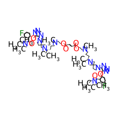 CCN(C(=O)c1cc(F)ccc1Oc1nncnc1N1CCC2(C1)CN([C@H](CCCN(C)CCOC(=O)/C=C/C(=O)OCCN(C)CCC[C@H](C(C)C)N1CC3(CCN(c4ncnnc4Oc4ccc(F)cc4C(=O)N(CC)C(C)C)C3)C1)C(C)C)C2)C(C)C